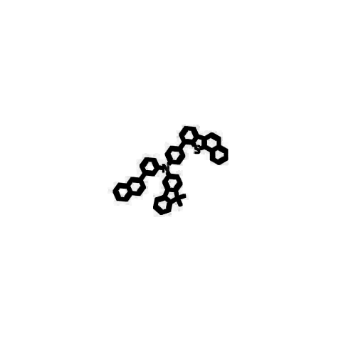 CC1(C)c2ccccc2-c2cc(N(c3ccc(-c4cccc5c4sc4c6ccccc6ccc54)cc3)c3cccc(-c4ccc5ccccc5c4)c3)ccc21